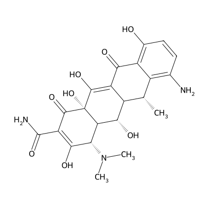 C[C@H]1c2c(N)ccc(O)c2C(=O)C2=C(O)[C@]3(O)C(=O)C(C(N)=O)=C(O)[C@@H](N(C)C)C3[C@@H](O)C21